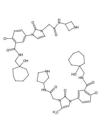 Cc1cn(-c2ccc(Cl)c(C(=O)NCC3(O)CCCCCC3)c2)c(=O)n1CC(=O)NC1CCNC1.O=C(Cn1ccn(-c2ccc(Cl)c(C(=O)NCC3(O)CCCCCC3)c2)c1=O)NC1CNC1